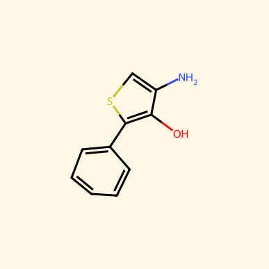 Nc1csc(-c2ccccc2)c1O